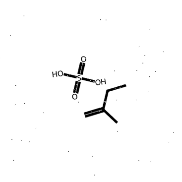 C=C(C)CC.O=S(=O)(O)O